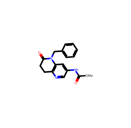 COC(=O)Nc1cnc2c(c1)N(Cc1ccccc1)C(=O)CC2